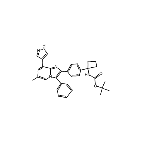 Cc1cc(-c2cn[nH]c2)c2nc(-c3ccc(C4(NC(=O)OC(C)(C)C)CCC4)cc3)c(-c3ccccc3)n2c1